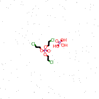 O=P(O)(O)O.O=P(OCCCl)(OCCCl)OCCCl